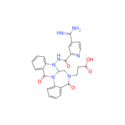 N=C(N)c1ccnc(C(=O)NN2c3ccccc3C(=O)N3c4ccccc4C(=O)N(CCC(=O)O)CC23)c1